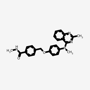 CNC(=O)c1ccc(COc2ccc(N(C)c3nc(C)nc4ccccc34)cc2)cc1